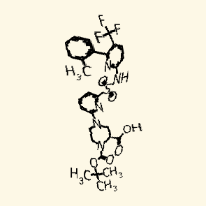 Cc1ccccc1-c1nc(NS(=O)(=O)c2cccc(N3CCN(C(=O)OC(C)(C)C)[C@H](C(=O)O)C3)n2)ccc1C(F)(F)F